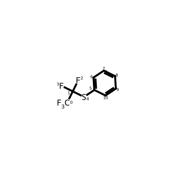 FC(F)(F)C(F)(F)Sc1c[c]ccc1